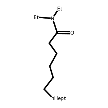 CCCCCCCCCCCCC(=O)N(CC)CC